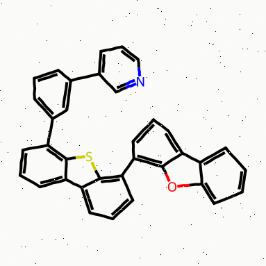 c1cncc(-c2cccc(-c3cccc4c3sc3c(-c5cccc6c5oc5ccccc56)cccc34)c2)c1